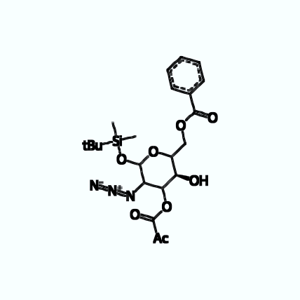 CC(=O)C(=O)OC1C(N=[N+]=[N-])C(O[Si](C)(C)C(C)(C)C)OC(COC(=O)c2ccccc2)[C@H]1O